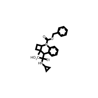 CCC(NC1CC1)(C(=O)O)C1c2ccccc2N(C(=O)OCc2ccccc2)C2CCC21C